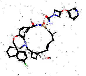 CO[C@H]1/C=C/C[C@H](C)C[S@@](=O)(NC(=O)N2CC(Oc3cccnc3)C2)=NC(=O)c2ccc3c(c2)N(C[C@@H]2CC[C@H]21)C[C@@]1(CCCc2cc(Cl)ccc21)CO3